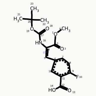 COC(=O)/C(=C\c1ccc(F)c(C(=O)O)c1)NC(=O)OC(C)(C)C